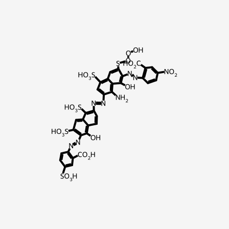 Nc1c(N=Nc2ccc3c(O)c(N=Nc4ccc(S(=O)(=O)O)cc4C(=O)O)c(S(=O)(=O)O)cc3c2S(=O)(=O)O)cc(S(=O)(=O)O)c2cc(SOOO)c(N=Nc3ccc([N+](=O)[O-])cc3C(=O)O)c(O)c12